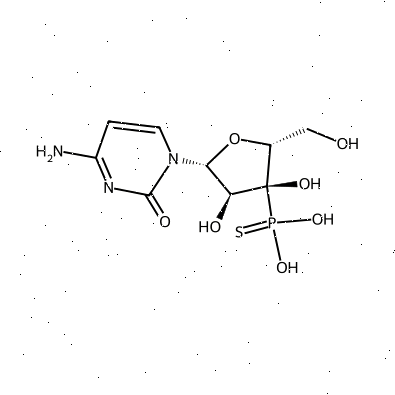 Nc1ccn([C@@H]2O[C@H](CO)[C@](O)(P(O)(O)=S)[C@H]2O)c(=O)n1